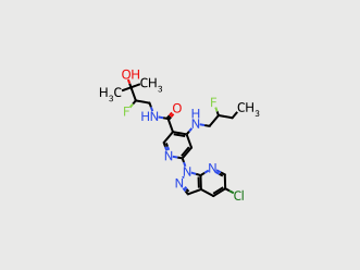 CCC(F)CNc1cc(-n2ncc3cc(Cl)cnc32)ncc1C(=O)NCC(F)C(C)(C)O